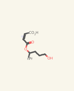 CCCC(CCCO)OC(=O)/C=C\C(=O)O